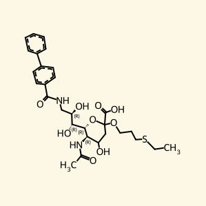 CCSCCCOC1(C(=O)O)CC(O)[C@@H](NC(C)=O)[C@H]([C@H](O)[C@H](O)CNC(=O)c2ccc(-c3ccccc3)cc2)O1